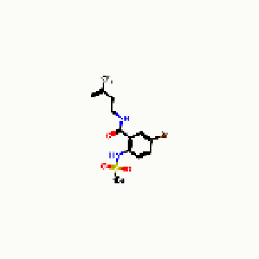 C=C(CCNC(=O)c1cc(Br)ccc1NS(=O)(=O)C(C)(C)C)C(F)(F)F